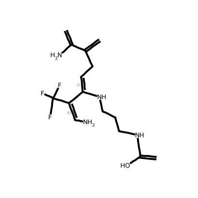 C=C(O)NCCCNC(=C\CC(=C)C(=C)N)/C(=C\N)C(F)(F)F